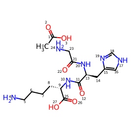 CC(=O)O.NCCCC[C@H](NC(=O)[C@H](Cc1c[nH]cn1)NC(=O)CN)C(=O)O